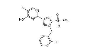 CS(=O)(=O)c1cc(-c2ncc(F)c(O)n2)nn1Cc1ccccc1F